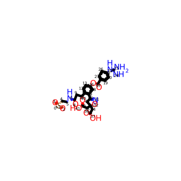 CS(=O)(=O)CCNC(=O)CCc1ccc(OC(=O)c2ccc(NC(=N)N)cc2)cc1C1=NOC(CC(=O)O)(CC(=O)O)C1